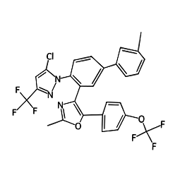 Cc1cccc(-c2ccc(-n3nc(C(F)(F)F)cc3Cl)c(-c3nc(C)oc3-c3ccc(OC(F)(F)F)cc3)c2)c1